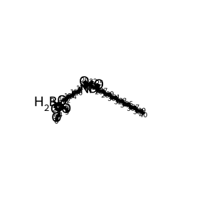 B[C@@H]1O[C@H](COC)C(OC)[C@@H]1OCCCCCCNC(=O)C(C)OC(=O)CCCCCCCCCCCCCCC